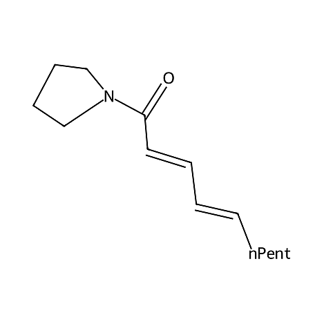 CCCCCC=CC=CC(=O)N1CCCC1